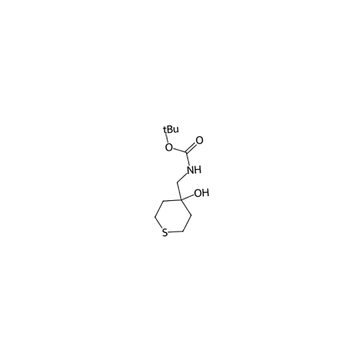 CC(C)(C)OC(=O)NCC1(O)CCSCC1